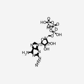 [N-]=[N+]=Nc1nc(N)c2ncn([C@@H]3O[C@H](COP(=O)(O)OP(=O)(O)OP(=O)(O)O)[C@@H](O)[C@H]3O)c2n1